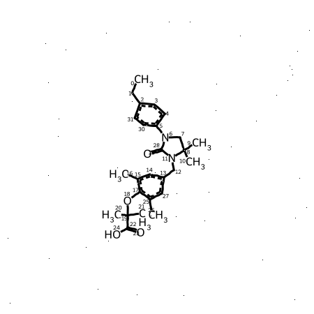 CCc1ccc(N2CC(C)(C)N(Cc3cc(C)c(OC(C)(C)C(=O)O)c(C)c3)C2=O)cc1